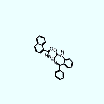 O=C(N[C@H]1N=C(c2ccccc2)c2ccccc2NC1=O)c1cccc2ccccc12